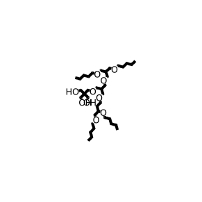 CCCCCOCC(COCCCCC)COCC(COCCC(COCCCCC)OCCCCC)COCC(CO)(CO)CO